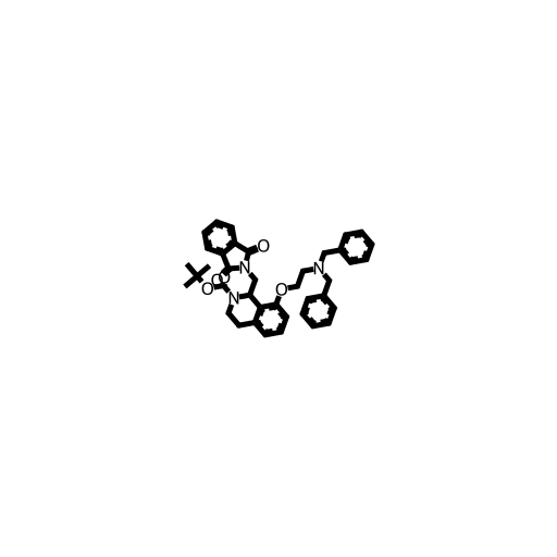 CC(C)(C)OC(=O)N1CCc2cccc(OCCN(Cc3ccccc3)Cc3ccccc3)c2C1CN1C(=O)c2ccccc2C1=O